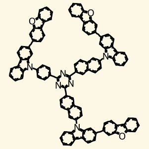 c1ccc2c(c1)oc1cc(-c3ccc4c5ccccc5n(-c5ccc(-c6nc(-c7ccc8cc(-n9c%10ccccc%10c%10ccc(-c%11ccc%12c(c%11)oc%11ccccc%11%12)cc%109)ccc8c7)nc(-c7ccc8cc(-n9c%10ccccc%10c%10ccc(-c%11ccc%12c(c%11)oc%11ccccc%11%12)cc%109)ccc8c7)n6)cc5)c4c3)ccc12